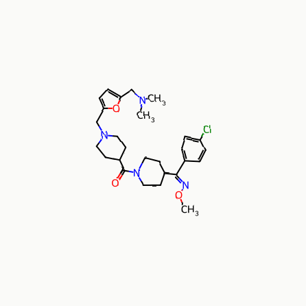 CON=C(c1ccc(Cl)cc1)C1CCN(C(=O)C2CCN(Cc3ccc(CN(C)C)o3)CC2)CC1